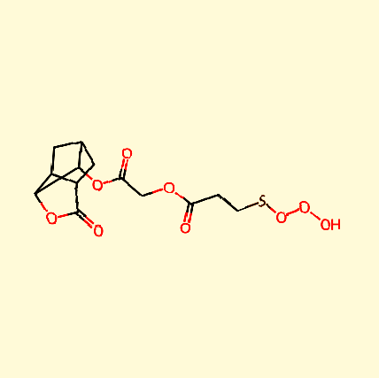 O=C(CCSOOO)OCC(=O)OC1C2CC3C(=O)OC1C3C2